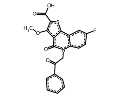 COc1c(C(=O)O)sc2c1c(=O)n(CC(=O)c1ccccc1)c1ccc(F)cc21